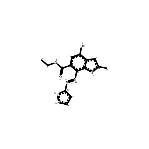 CCOC(=O)c1cc(O)c2cc(C)sc2c1/N=N/c1ccns1